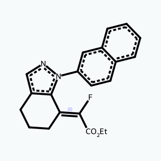 CCOC(=O)/C(F)=C1\CCCc2cnn(-c3ccc4ccccc4c3)c21